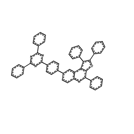 c1ccc(-c2nc(-c3ccccc3)nc(-c3ccc(-c4ccc5nc(-c6ccccc6)c6oc(-c7ccccc7)c(-c7ccccc7)c6c5c4)cc3)n2)cc1